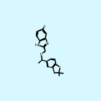 CC(OCc1nc2cc(F)ccc2[nH]1)c1ccc2c(c1)CC(C)(C)O2